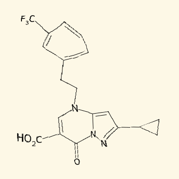 O=C(O)c1cn(CCc2cccc(C(F)(F)F)c2)c2cc(C3CC3)nn2c1=O